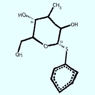 CC1C(O)[C@H](Sc2ccccc2)OC(CO)[C@@H]1O